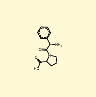 N[C@@H](C(=O)N1CCC[C@H]1C(=O)O)c1ccccc1